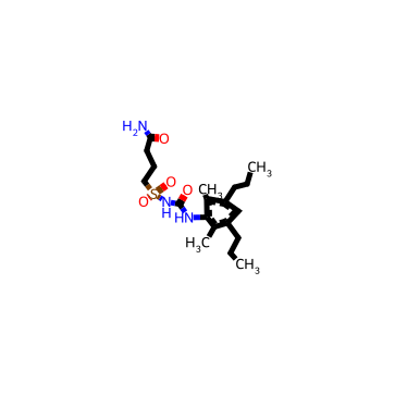 CCCc1cc(CCC)c(C)c(NC(=O)NS(=O)(=O)CCCC(N)=O)c1C